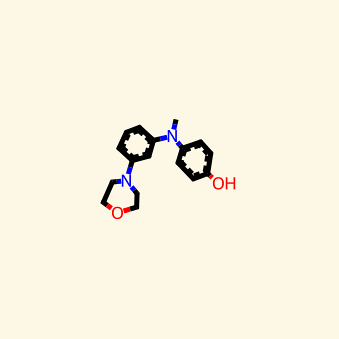 CN(c1ccc(O)cc1)c1cccc(N2CCOCC2)c1